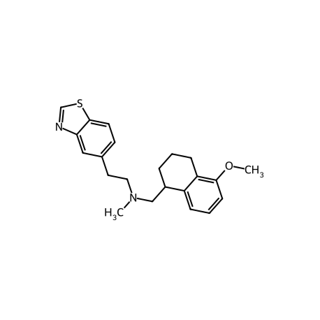 COc1cccc2c1CCCC2CN(C)CCc1ccc2scnc2c1